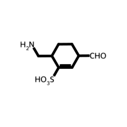 NCC1CCC(C=O)C=C1S(=O)(=O)O